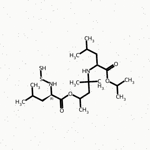 CC(C)CC(NC(C)(C)CC(C)OC(=O)[C@@H](CC(C)C)NSS)C(=O)OC(C)C